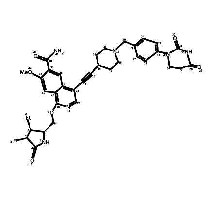 CC[C@@H]1[C@H](F)C(=O)N[C@@H]1COc1ncc(C#CC2CCN(Cc3ccc(N4CCC(=O)NC4=O)cc3)CC2)c2cc(C(N)=O)c(OC)cc12